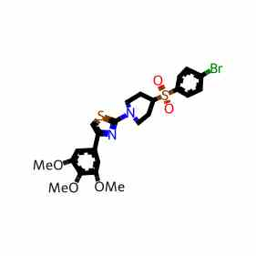 COc1cc(-c2csc(N3CCC(S(=O)(=O)c4ccc(Br)cc4)CC3)n2)cc(OC)c1OC